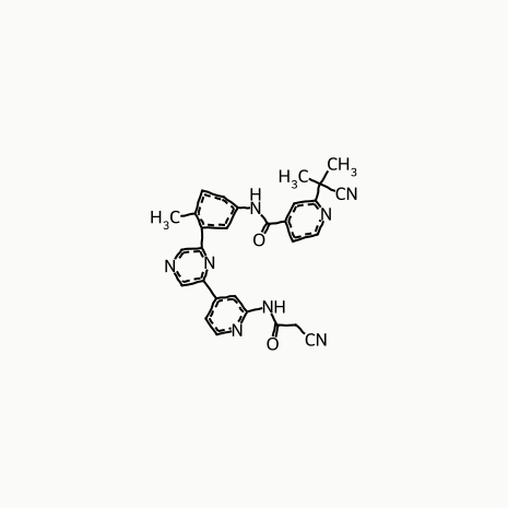 Cc1ccc(NC(=O)c2ccnc(C(C)(C)C#N)c2)cc1-c1cncc(-c2ccnc(NC(=O)CC#N)c2)n1